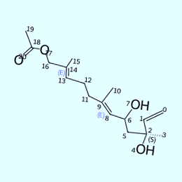 C=C[C@@](C)(O)CC(O)/C=C(\C)CC/C=C(\C)COC(C)=O